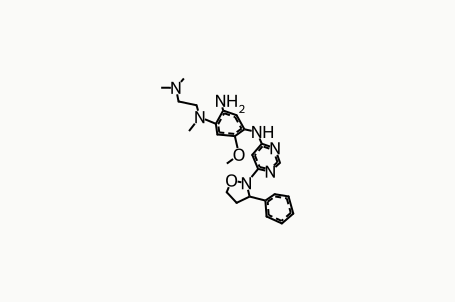 COc1cc(N(C)CCN(C)C)c(N)cc1Nc1cc(N2OCCC2c2ccccc2)ncn1